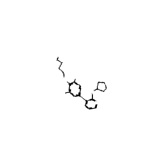 O=C(O)CCCCOc1c(F)cc(-c2cccnc2OC2CCCC2)cc1F